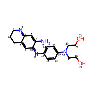 NC1=CC2=NCCCC2=C/C1=N/c1ccc(N(CCO)CCO)cc1